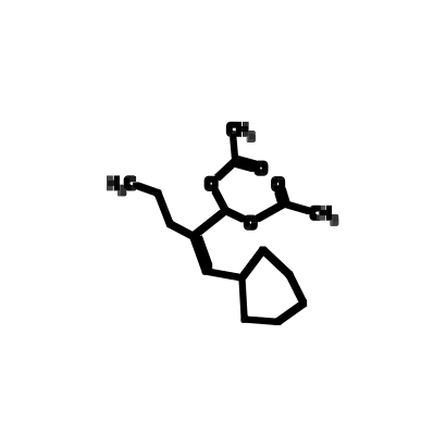 CCCC(=CC1CCCCC1)C(OC(C)=O)OC(C)=O